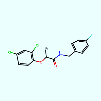 CC(C)C(Oc1ccc(Cl)cc1Cl)C(=O)NCc1ccc(F)cc1